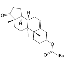 CC(C)(C)C(=O)OC1CC[C@@]2(C)C(=CC[C@@H]3[C@@H]2CC[C@]2(C)C(=O)CC[C@@H]32)C1